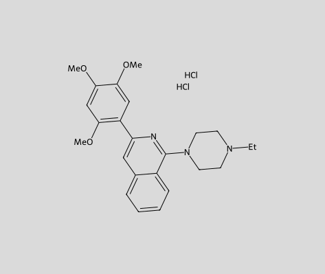 CCN1CCN(c2nc(-c3cc(OC)c(OC)cc3OC)cc3ccccc23)CC1.Cl.Cl